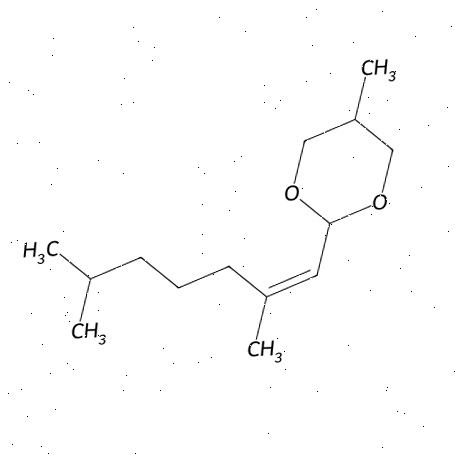 CC(=CC1OCC(C)CO1)CCCC(C)C